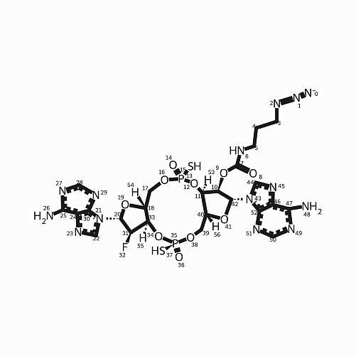 [N-]=[N+]=NCCCNC(=O)O[C@@H]1[C@@H]2OP(=O)(S)OC[C@H]3O[C@@H](n4cnc5c(N)ncnc54)[C@H](F)[C@@H]3O[P@](=O)(S)OC[C@H]2O[C@H]1n1cnc2c(N)ncnc21